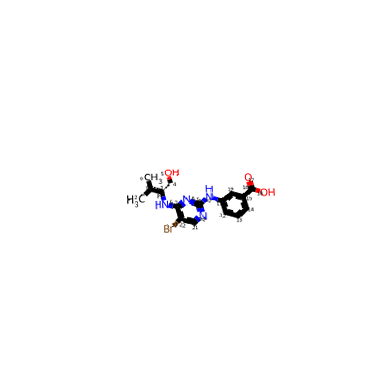 CC(C)[C@H](CO)Nc1nc(Nc2cccc(C(=O)O)c2)ncc1Br